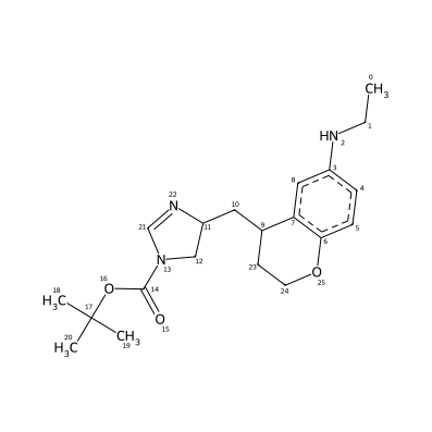 CCNc1ccc2c(c1)C(CC1CN(C(=O)OC(C)(C)C)C=N1)CCO2